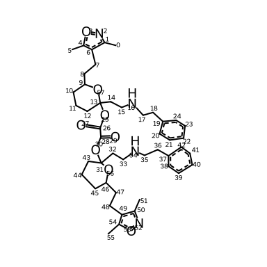 Cc1noc(C)c1CCC1CCCC(CCNCCc2ccccc2)(OC(=O)C(=O)OC2(CCNCCc3ccccc3)CCCC(CCc3c(C)noc3C)O2)O1